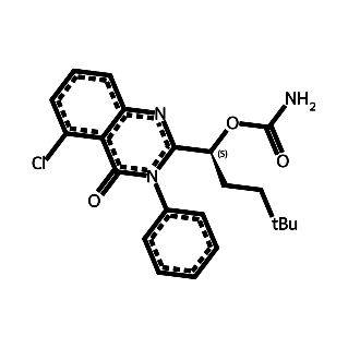 CC(C)(C)CC[C@H](OC(N)=O)c1nc2cccc(Cl)c2c(=O)n1-c1ccccc1